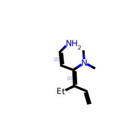 C=C/C(CC)=C(/C=C\N)N(C)C